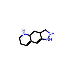 C1=C2NNCC2CC2NCCC=C12